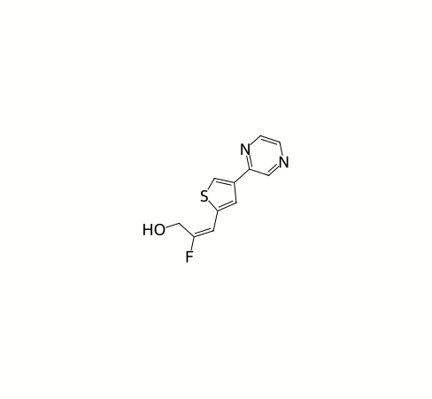 OC/C(F)=C\c1cc(-c2cnccn2)cs1